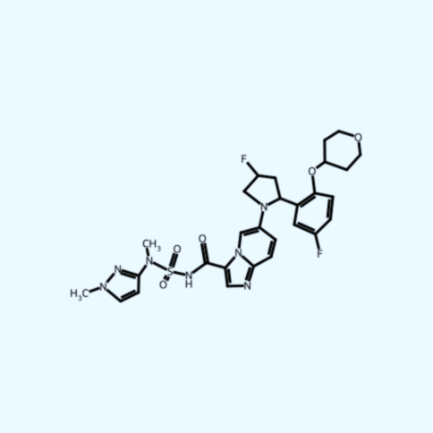 CN(c1ccn(C)n1)S(=O)(=O)NC(=O)c1cnc2ccc(N3CC(F)CC3c3cc(F)ccc3OC3CCOCC3)cn12